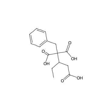 CCC(CC(=O)O)C(Cc1ccccc1)(C(=O)O)C(=O)O